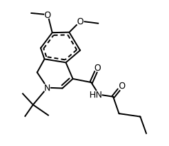 CCCC(=O)NC(=O)C1=CN(C(C)(C)C)Cc2cc(OC)c(OC)cc21